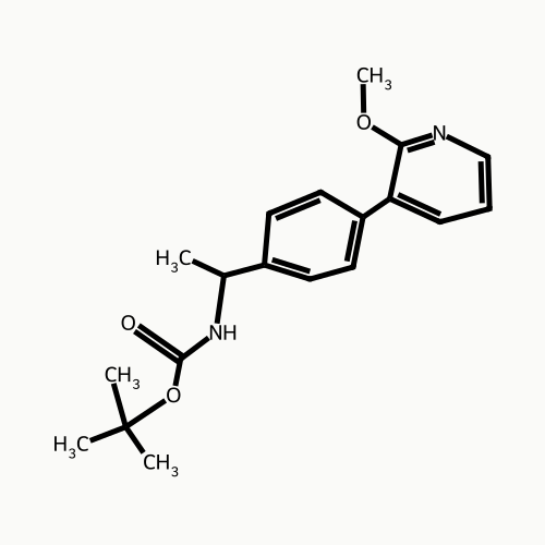 COc1ncccc1-c1ccc(C(C)NC(=O)OC(C)(C)C)cc1